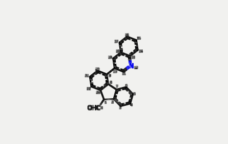 O=CC1c2ccccc2-c2c(-c3cnc4ccccc4c3)cccc21